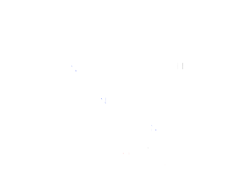 COc1ccccc1N(CCN1CCN(c2ccccc2F)CC1)C(=O)O